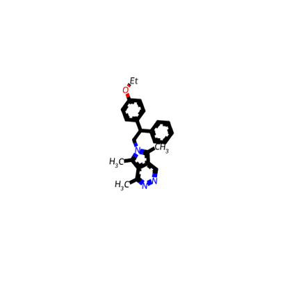 CCOc1ccc(C(Cn2c(C)c3cnnc(C)c3c2C)c2ccccc2)cc1